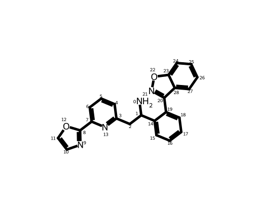 NC(Cc1cccc(-c2ncco2)n1)c1ccccc1-c1noc2ccccc12